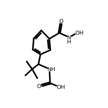 CC(C)(C)C(NC(=O)O)c1cccc(C(=O)NO)c1